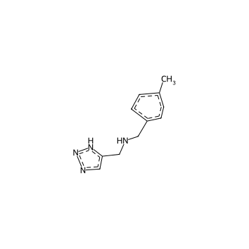 Cc1ccc(CNCc2cnn[nH]2)cc1